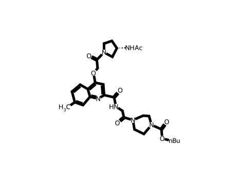 CCCCOC(=O)N1CCN(C(=O)CNC(=O)c2cc(OCC(=O)N3CC[C@H](NC(C)=O)C3)c3ccc(C)cc3n2)CC1